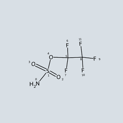 NS(=O)(=O)OC(F)(F)C(F)(F)F